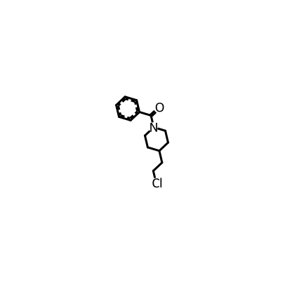 O=C(c1ccccc1)N1CCC(CCCl)CC1